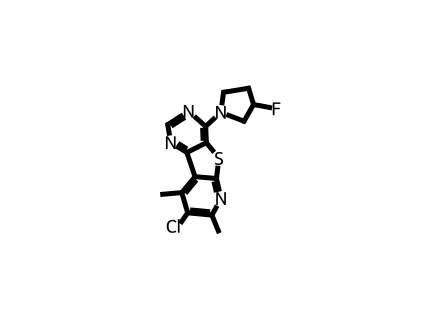 Cc1nc2sc3c(N4CCC(F)C4)ncnc3c2c(C)c1Cl